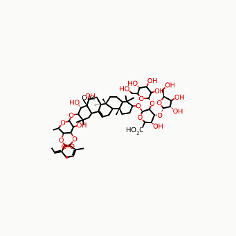 C/C=C(/C)C(=O)O[C@@H]1C(O)[C@H](O[C@H]2[C@H](O)[C@@]3(COC(C)=O)C(CC2(C)C)C2=CCC4[C@@]5(C)CC[C@H](O[C@@H]6OC(C(=O)O)[C@@H](O)[C@@H](O[C@@H]7O[C@@H](CO)C(O)[C@@H]7O)C6O[C@@H]6OC(CO)[C@H](O)[C@@H](O)C6O)C(C)(C)C5CC[C@@]4(C)[C@]2(C)C[C@H]3O)OC(C)[C@@H]1OC(=O)/C(C)=C\C